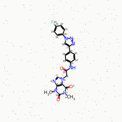 Cn1c(=O)c2c(ncn2CC(=O)Nc2ccc(-c3cn(-c4ccc(F)cc4)nn3)cc2)n(C)c1=O